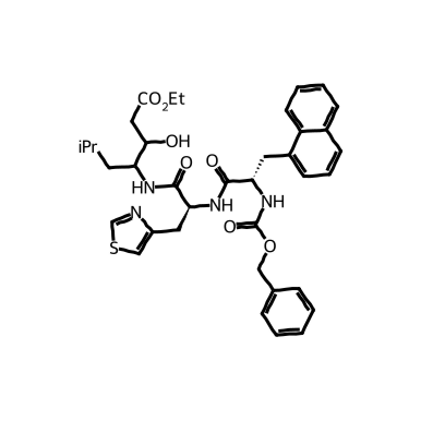 CCOC(=O)CC(O)C(CC(C)C)NC(=O)[C@H](Cc1cscn1)NC(=O)[C@H](Cc1cccc2ccccc12)NC(=O)OCc1ccccc1